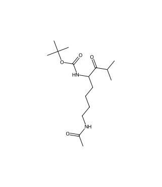 CC(=O)NCCCCC(NC(=O)OC(C)(C)C)C(=O)C(C)C